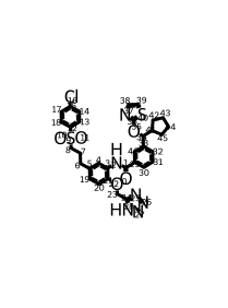 O=C(Nc1cc(CCCS(=O)(=O)c2ccc(Cl)cc2)ccc1OCc1nnn[nH]1)c1cccc(C(Oc2nccs2)C2CCCC2)c1